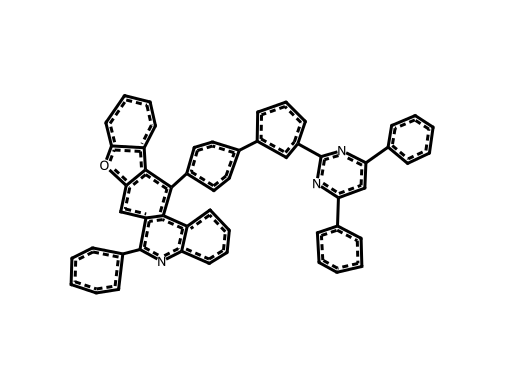 c1ccc(-c2cc(-c3ccccc3)nc(-c3cccc(-c4ccc(-c5c6c(cc7c(-c8ccccc8)nc8ccccc8c57)oc5ccccc56)cc4)c3)n2)cc1